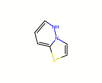 C1=CNN2C=CSC2=C1